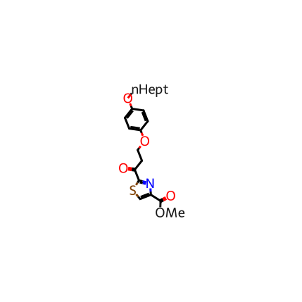 CCCCCCCOc1ccc(OCCC(=O)c2nc(C(=O)OC)cs2)cc1